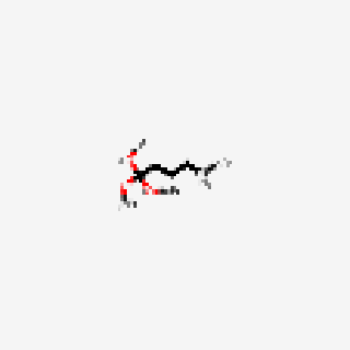 CCCOC(CCC[SiH2]CCC)(OCCC)OCCC